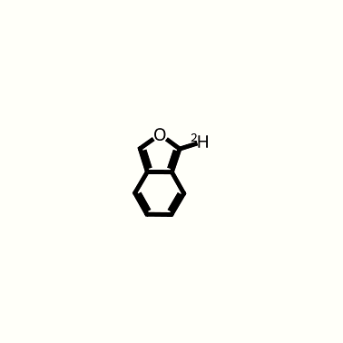 [2H]c1occ2ccccc12